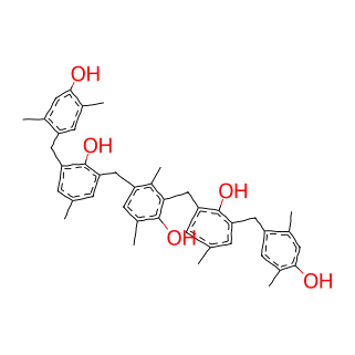 Cc1cc(Cc2cc(C)c(O)cc2C)c(O)c(Cc2cc(C)c(O)c(Cc3cc(C)cc(Cc4cc(C)c(O)cc4C)c3O)c2C)c1